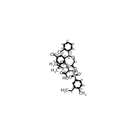 CCc1cc(S(=O)(=O)N[C@@H](C(=O)O)[N@+]2(CC(C)(C)C)C(=O)CO[C@H](c3ccccc3Cl)c3cc(Cl)ccc32)ccc1C